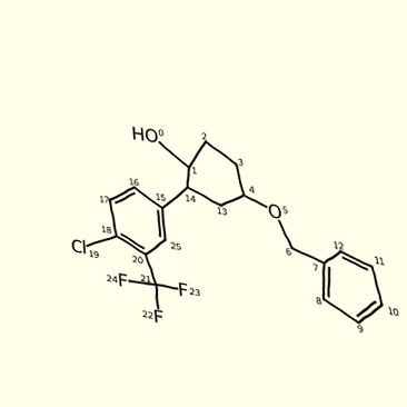 OC1CCC(OCc2ccccc2)CC1c1ccc(Cl)c(C(F)(F)F)c1